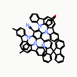 Cc1ccc2c(c1)c1ccccc1n2-c1c(C#N)c(-n2c3ccccc3c3cc(C)ccc32)c(-n2c3ccccc3c3cc(C)ccc32)c(-c2ccc3c(n2)-c2ccccc2C32c3ccccc3-c3ccccc32)c1-n1c2ccccc2c2cc(C)ccc21